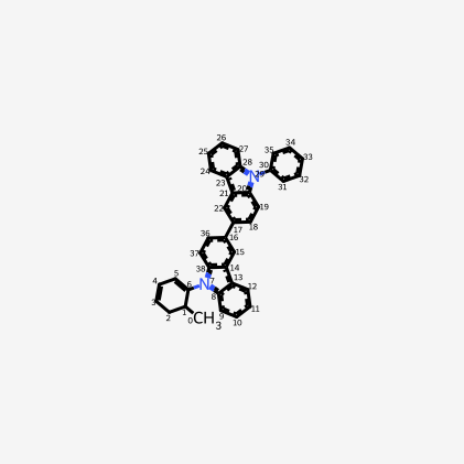 CC1CC=CC=C1n1c2ccccc2c2cc(-c3ccc4c(c3)c3ccccc3n4-c3ccccc3)ccc21